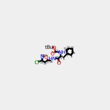 CC(C)(C)OC(=O)N[C@@H](Cc1ccccc1)C(=O)NCC1CC(Cl)=NO1